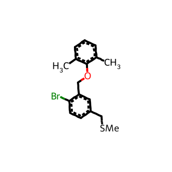 CSCc1ccc(Br)c(COc2c(C)cccc2C)c1